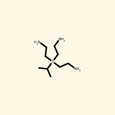 C[CH](C)[Ti]([CH2]CN)([CH2]CN)[CH2]CN